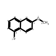 COc1ccc2c([S])cccc2c1